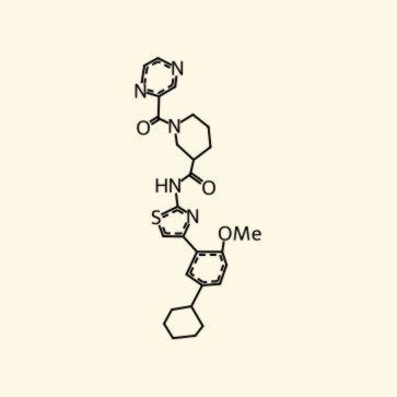 COc1ccc(C2CCCCC2)cc1-c1csc(NC(=O)C2CCCN(C(=O)c3cnccn3)C2)n1